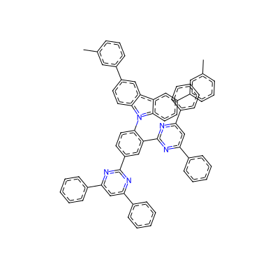 Cc1cccc(-c2ccc3c(c2)c2cc(-c4cccc(C)c4)ccc2n3-c2ccc(-c3nc(-c4ccccc4)cc(-c4ccccc4)n3)cc2-c2nc(-c3ccccc3)cc(-c3ccccc3)n2)c1